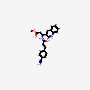 COC(=O)CC(NC(=O)/C=C/c1ccc(C#N)cc1)c1cnc2ccccc2c1